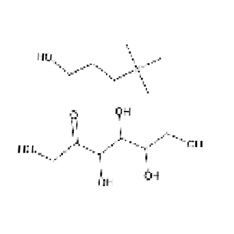 C[N+](C)(C)CCCO.O=C(CO)C(O)C(O)C(O)CO